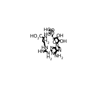 N=C(N)NCCCC(N)C(=O)O.Nc1ncnc2c1ncn2[C@@H]1O[C@H](COP(=O)(O)O)[C@@H](O)[C@H]1O